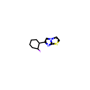 IC1CCCCC1c1cn2ccsc2n1